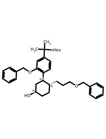 CCCCCCC(C)(C)c1ccc([C@@H]2C[C@H](O)CC[C@H]2CCCOCc2ccccc2)c(OCc2ccccc2)c1